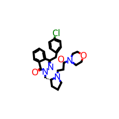 O=C(CCN1CCC[C@@H]1Cn1nc(Cc2ccc(Cl)cc2)c2ccccc2c1=O)N1CCOCC1